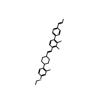 C/C=C/c1ccc(-c2ccc(/C=C/C3CCC(c4ccc(OCC)cc4F)CC3)c(F)c2F)cc1